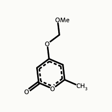 COCOc1cc(C)oc(=O)c1